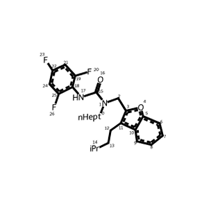 CCCCCCCN(Cc1oc2ccccc2c1CCC(C)C)C(=O)Nc1c(F)cc(F)cc1F